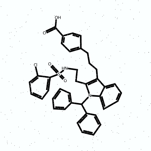 O=C(O)c1ccc(CCCc2c(CCNS(=O)(=O)c3ccccc3Cl)n(C(c3ccccc3)c3ccccc3)c3ccccc23)cc1